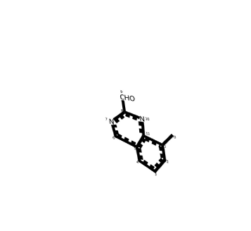 Cc1cccc2cnc(C=O)nc12